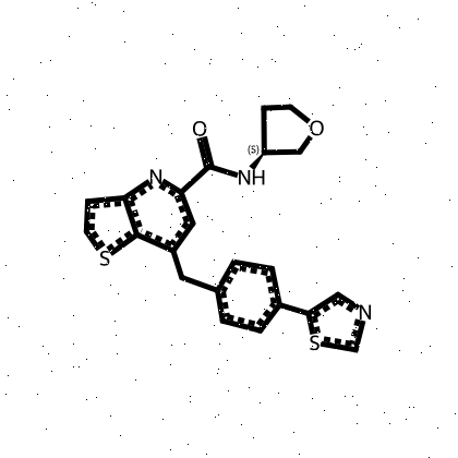 O=C(N[C@H]1CCOC1)c1cc(Cc2ccc(-c3cncs3)cc2)c2sccc2n1